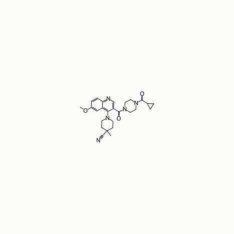 COc1ccc2ncc(C(=O)N3CCN(C(=O)C4CC4)CC3)c(N3CCC(C)(C#N)CC3)c2c1